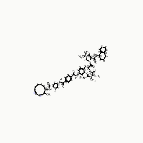 C=C1/C=C\C=C/CCCC[C@H]1NC(=O)[C@@H]1C[C@H](NC(=O)c2ccc(C(=O)Nc3ccc(C[C@H](NC(=O)[C@H](C)N(C)C(=O)OC(C)(C)C)C(=O)N4C[Si](C)(C)C[C@H]4C(=O)N[C@@H]4CCCc5ccccc54)cc3)cc2)CN1